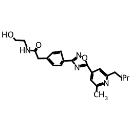 Cc1cc(-c2nc(-c3ccc(CC(=O)NCCO)cc3)no2)cc(CC(C)C)n1